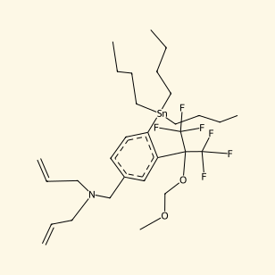 C=CCN(CC=C)Cc1cc[c]([Sn]([CH2]CCC)([CH2]CCC)[CH2]CCC)c(C(OCOC)(C(F)(F)F)C(F)(F)F)c1